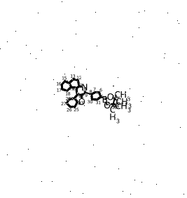 CC1(C)OB(c2ccc(-c3nc4ccc5ccccc5c4c4c3oc3ccccc34)cc2)OC1(C)C